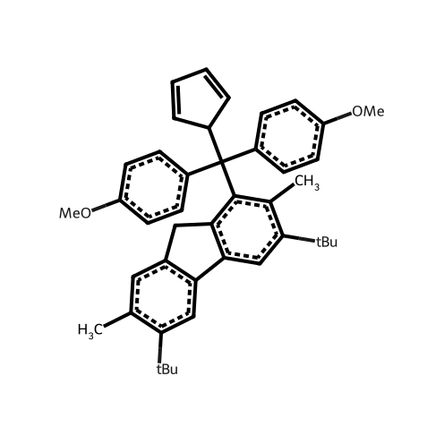 COc1ccc(C(c2ccc(OC)cc2)(c2c(C)c(C(C)(C)C)cc3c2Cc2cc(C)c(C(C)(C)C)cc2-3)C2C=CC=C2)cc1